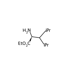 CCOC(=O)[C@@H](N)C(C(C)C)C(C)C